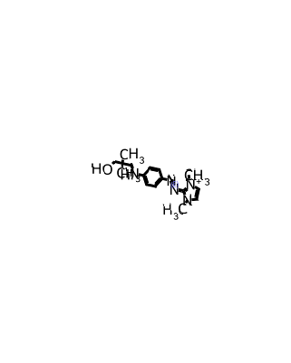 Cn1cc[n+](C)c1/N=N/c1ccc(NCC(C)(C)CO)cc1